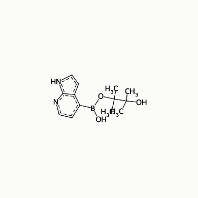 CC(C)(O)C(C)(C)OB(O)c1ccnc2[nH]ccc12